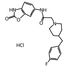 Cl.O=C(CN1CCC(Cc2ccc(F)cc2)CC1)Nc1ccc2[nH]c(=O)oc2c1